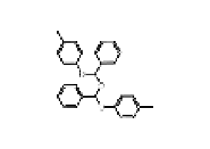 Cc1ccc(OC(OC(Oc2ccc(C)cc2)c2ccccc2)c2ccccc2)cc1